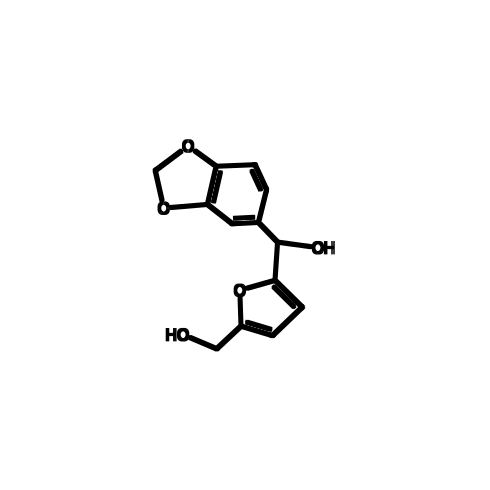 OCc1ccc(C(O)c2ccc3c(c2)OCO3)o1